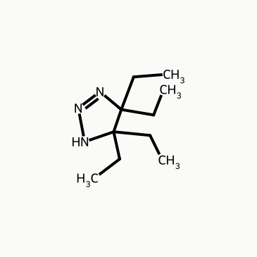 CCC1(CC)N=NNC1(CC)CC